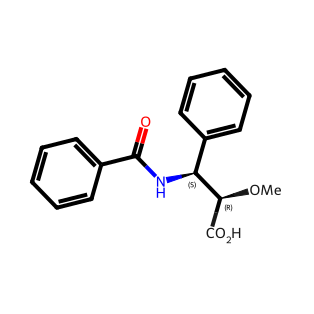 CO[C@@H](C(=O)O)[C@@H](NC(=O)c1ccccc1)c1ccccc1